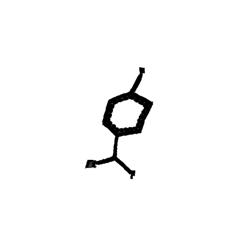 [CH2]CC(F)c1ccc(F)cc1